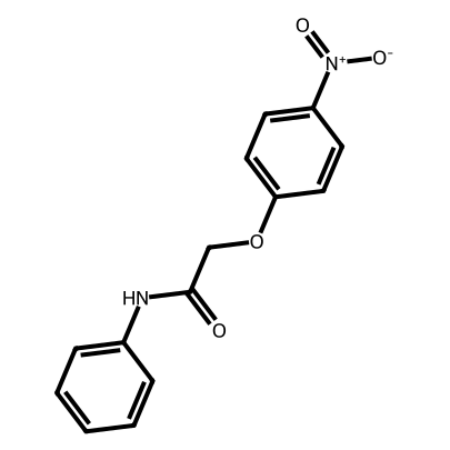 O=C(COc1ccc([N+](=O)[O-])cc1)Nc1ccccc1